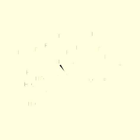 CC1(C)C[C@H]2C3CC1C(C(O)(C(F)(F)F)C(F)(F)F)C2C(C(F)(F)F)(C(F)(F)F)O3